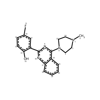 CN1CCN(c2nc(-c3cc(F)ccc3O)nc3ccccc23)CC1